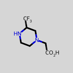 O=C(O)CN1CCNC(C(F)(F)F)C1